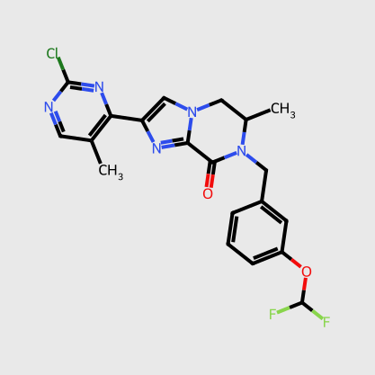 Cc1cnc(Cl)nc1-c1cn2c(n1)C(=O)N(Cc1cccc(OC(F)F)c1)C(C)C2